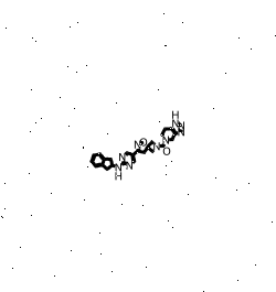 O=C(N1CCc2[nH]nnc2C1)N1CC2(CC(c3cnc(NC4Cc5ccccc5C4)nc3)=NO2)C1